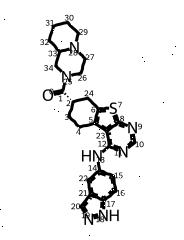 O=C([C@H]1CCc2c(sc3ncnc(Nc4ccc5[nH]ncc5c4)c23)C1)N1CCN2CCCCC2C1